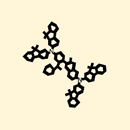 Cc1cc2cc(N(c3ccc4c(c3)C(C)(C)c3ccccc3-4)c3ccc4c(c3)C(C)(C)c3ccccc3-4)ccc2cc1-c1ccc(N(c2ccc3c(c2)C(C)(C)c2ccccc2-3)c2ccc3c(c2)C(C)(C)c2ccccc2-3)cc1C(C)c1ccccc1